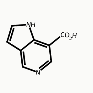 O=C(O)c1cncc2cc[nH]c12